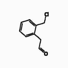 O=CCc1ccccc1CCl